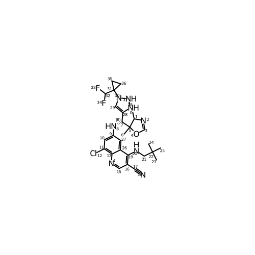 CC1N=COC1(C)[C@H](Nc1cc(Cl)c2ncc(C#N)c(NCC(C)(C)C)c2c1)C1=CN(C2(C(F)F)CC2)NN1